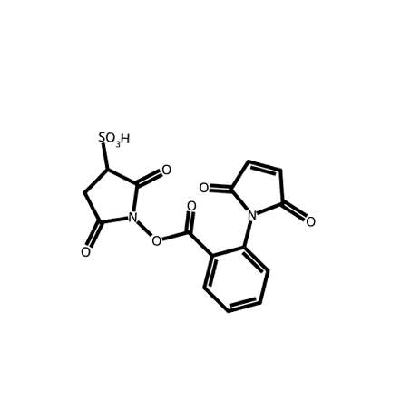 O=C(ON1C(=O)CC(S(=O)(=O)O)C1=O)c1ccccc1N1C(=O)C=CC1=O